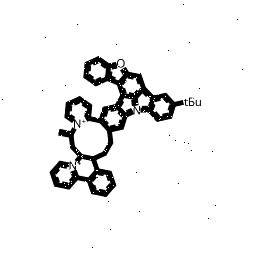 C=C1CC2C(CCc3cc4c(cc3-c3cccc[n+]31)c1c3c(cc5c6cc(C(C)(C)C)ccc6n4c51)oc1ccccc13)c1ccccc1-c1cccc[n+]12